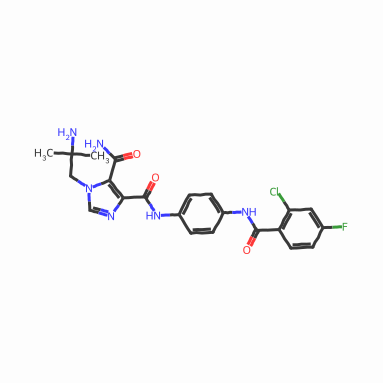 CC(C)(N)Cn1cnc(C(=O)Nc2ccc(NC(=O)c3ccc(F)cc3Cl)cc2)c1C(N)=O